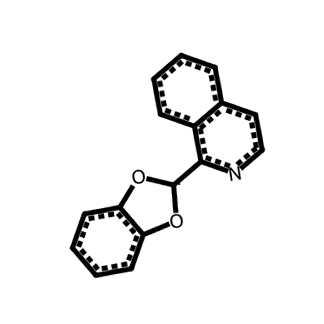 c1ccc2c(c1)O[C](c1nccc3ccccc13)O2